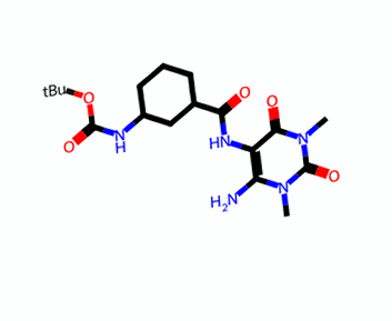 Cn1c(N)c(NC(=O)C2CCCC(NC(=O)OC(C)(C)C)C2)c(=O)n(C)c1=O